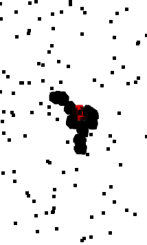 c1ccc(N(c2ccc(-c3ccc4ccccc4c3)cc2)c2ccc(-c3cccc4cccc(N(c5ccccc5)c5ccc(-c6ccc7ccccc7c6)cc5)c34)cc2)cc1